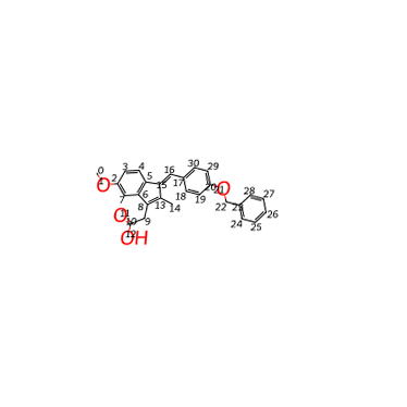 COc1ccc2c(c1)C(CC(=O)O)=C(C)C2=Cc1ccc(OCc2ccccc2)cc1